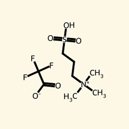 C[N+](C)(C)CCCS(=O)(=O)O.O=C([O-])C(F)(F)F